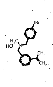 C=C(C)c1cccc(CN(C)Cc2ccc(C(C)(C)C)cc2)c1.Cl